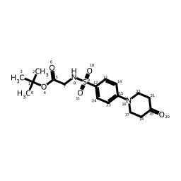 CC(C)(C)OC(=O)CNS(=O)(=O)c1ccc(N2CCC(=O)CC2)cc1